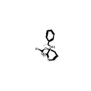 CCC(=O)O[C@@]1(N[C@H](C)c2ccccc2)CC=CN=C1CC